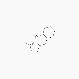 Cc1cnn(CC2CCCCC2)c1C(=O)O